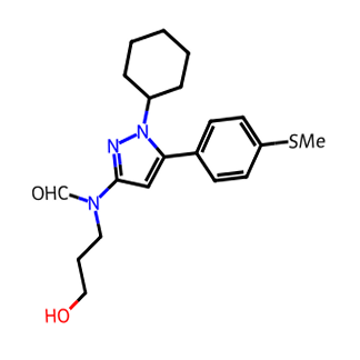 CSc1ccc(-c2cc(N(C=O)CCCO)nn2C2CCCCC2)cc1